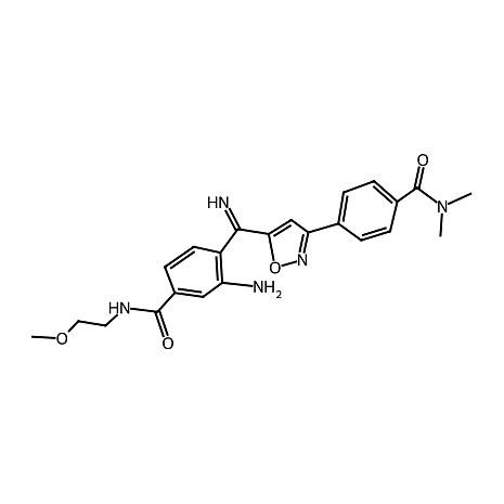 COCCNC(=O)c1ccc(C(=N)c2cc(-c3ccc(C(=O)N(C)C)cc3)no2)c(N)c1